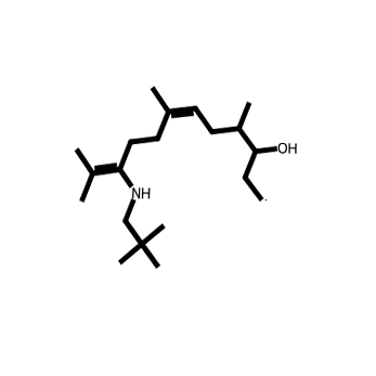 [CH2]CC(O)C(C)CC=C(C)CCC(NCC(C)(C)C)=C(C)C